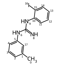 Cc1cccc(NC(=N)Nc2ccccc2I)c1